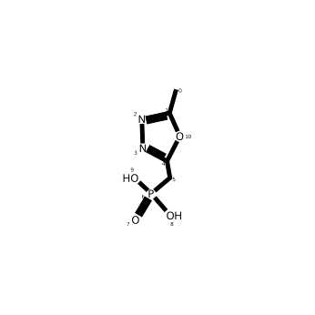 Cc1nnc(CP(=O)(O)O)o1